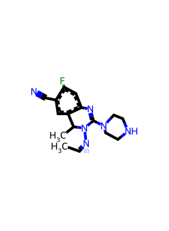 C/C=N\N1C(N2CCNCC2)=Nc2cc(F)c(C#N)cc2C1C